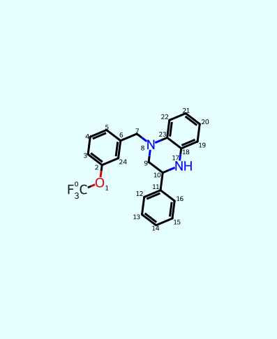 FC(F)(F)Oc1cccc(CN2CC(c3ccccc3)Nc3ccccc32)c1